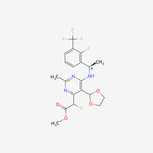 COC(=O)C(F)c1nc(C)nc(N[C@H](C)c2cccc(C(F)(F)F)c2F)c1C1OCCO1